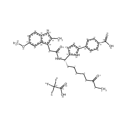 CCC(=O)CCCCC[C@H](NC(=O)Cc1c(C)[nH]c2ccc(OC)cc12)c1ncc(-c2ccc(C(=O)O)cc2)[nH]1.O=C(O)C(F)(F)F